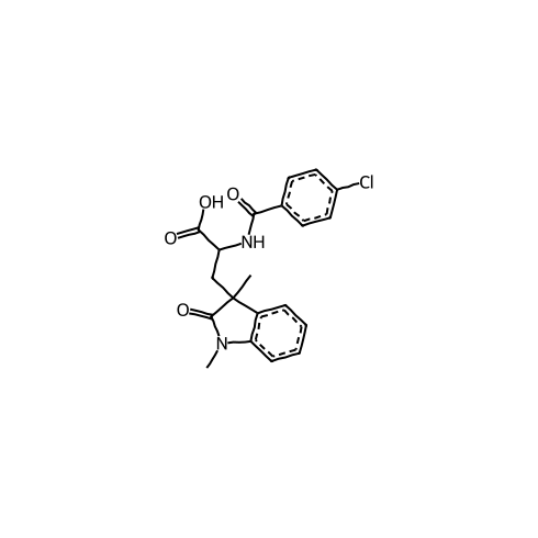 CN1C(=O)C(C)(CC(NC(=O)c2ccc(Cl)cc2)C(=O)O)c2ccccc21